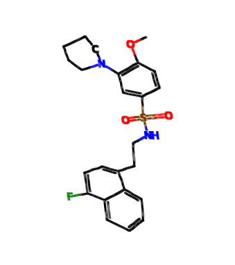 COc1ccc(S(=O)(=O)NCCc2ccc(F)c3ccccc23)cc1N1CCCCC1